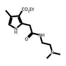 CCOC(=O)c1c(C)c[nH]c1CC(=O)NCCN(C)C